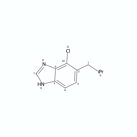 CC(C)Cc1ccc2[nH][c]nc2c1Cl